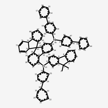 CC1(C)c2ccccc2-c2ccc(N(c3ccc(-c4ccccc4)cc3)c3cccc4c3-c3ccc(N(c5ccc(-c6ccccc6)cc5)c5ccc(-c6ccccc6)cc5)cc3C43c4ccccc4C4C=CC=CC43)cc21